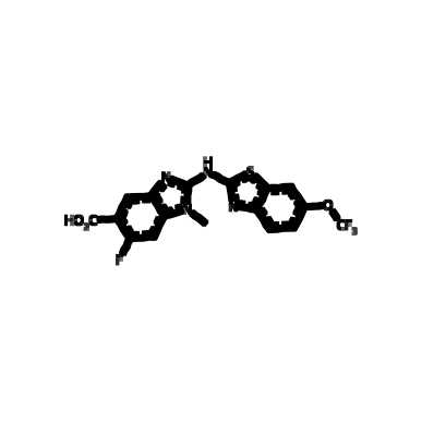 Cn1c(Nc2nc3ccc(OC(F)(F)F)cc3s2)nc2cc(C(=O)O)c(F)cc21